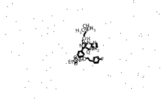 CCS(=O)(=O)Nc1ccc(-c2nn(COCC[Si](C)(C)C)c(Nc3cnccn3)c2C(N)=O)cc1OCCc1ccc(F)cc1